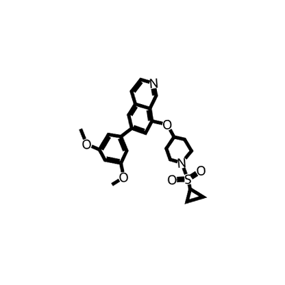 COc1cc(OC)cc(-c2cc(OC3CCN(S(=O)(=O)C4CC4)CC3)c3cnccc3c2)c1